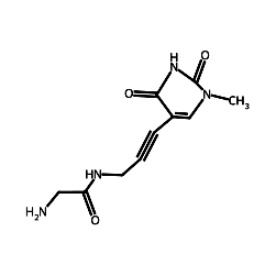 Cn1cc(C#CCNC(=O)CN)c(=O)[nH]c1=O